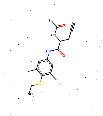 C#CCC(NC(=O)CC)C(=O)Nc1cc(C)c(SC[N+](=O)[O-])c(C)c1